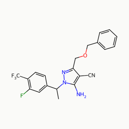 CC(c1ccc(C(F)(F)F)c(F)c1)n1nc(COCc2ccccc2)c(C#N)c1N